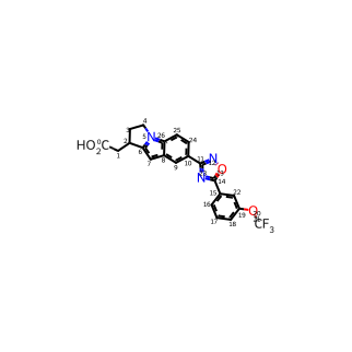 O=C(O)CC1CCn2c1cc1cc(-c3noc(-c4cccc(OC(F)(F)F)c4)n3)ccc12